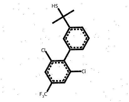 CC(C)(S)c1cccc(-c2c(Cl)cc(C(F)(F)F)cc2Cl)c1